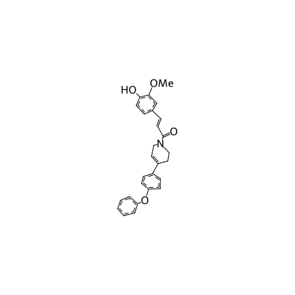 COc1cc(/C=C/C(=O)N2CC=C(c3ccc(Oc4ccccc4)cc3)CC2)ccc1O